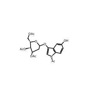 CC(=O)OC[C@H]1OC(Oc2cn(C(C)=O)c3ccc(O)cc23)CC(OC(C)=O)[C@H]1OC(C)=O